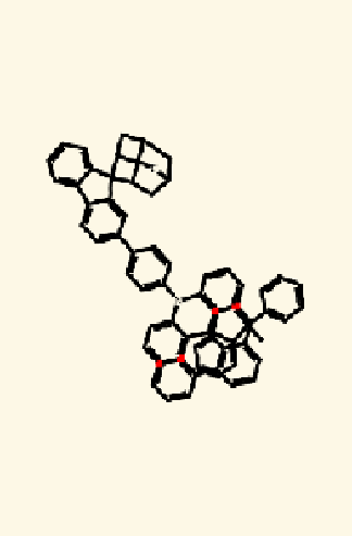 CC1(c2ccccc2)c2ccccc2-c2c(N(c3ccc(-c4ccc5c(c4)C4(c6ccccc6-5)C5CC6CC7CC4C75C6)cc3)c3ccccc3-c3cccc4cccc(-c5ccccc5)c34)cccc21